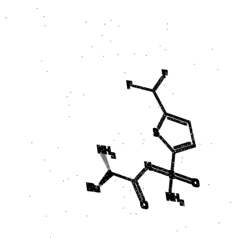 CC[C@H](C)[C@H](N)C(=O)N=S(N)(=O)c1ccc(C(F)F)s1